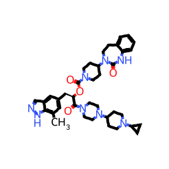 Cc1cc(C[C@@H](OC(=O)N2CCC(N3CCc4ccccc4NC3=O)CC2)C(=O)N2CCN(C3CCN(C4CC4)CC3)CC2)cc2cn[nH]c12